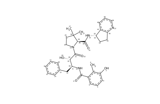 Cc1c(O)cccc1C(=O)N[C@@H](Cc1ccccc1)[C@H](O)C(=O)N1CSC(C)(C)[C@H]1C(=O)N[C@H]1CCc2ncccc21